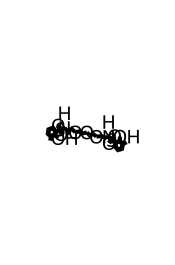 Cc1cccc(S(=O)(=O)NCCOCCOCCOCCNS(=O)(=O)c2cccc(C)c2O)c1O